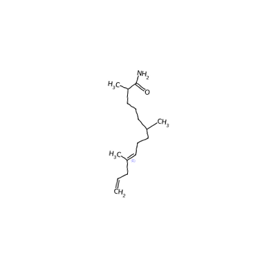 C=CC/C(C)=C/CCC(C)CCCC(C)C(N)=O